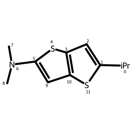 CC(C)c1cc2sc(N(C)C)cc2s1